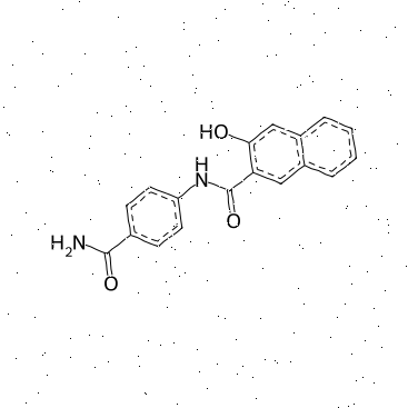 NC(=O)c1ccc(NC(=O)c2cc3ccccc3cc2O)cc1